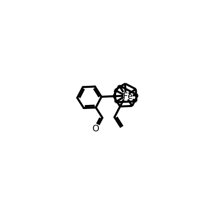 C=C[C]12[CH]3[CH]4[CH]5[C]1(c1ccccc1C=O)[Fe]43521678[CH]2[CH]1[CH]6[CH]7[CH]28